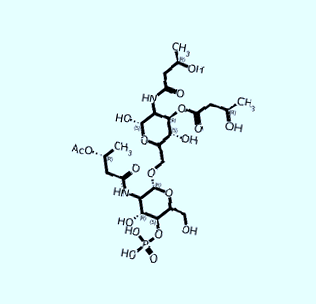 CC(=O)O[C@H](C)CC(=O)NC1[C@H](OCC2O[C@H](O)C(NC(=O)C[C@@H](C)O)[C@@H](OC(=O)C[C@@H](C)O)[C@@H]2O)OC(CO)[C@@H](OP(=O)(O)O)[C@@H]1O